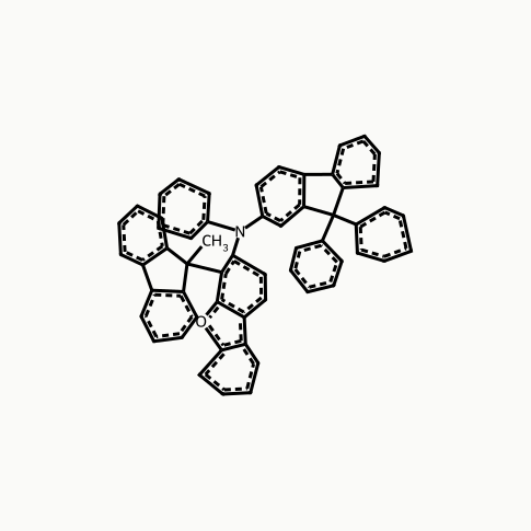 CC1(c2c(N(c3ccccc3)c3ccc4c(c3)C(c3ccccc3)(c3ccccc3)c3ccccc3-4)ccc3c2oc2ccccc23)c2ccccc2-c2ccccc21